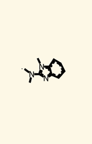 [CH2]N(C)c1nc2ccccc2n1C